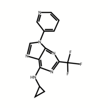 FC(F)(F)c1nc(NC2CC2)c2ncn(-c3cccnc3)c2n1